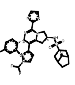 O=C1C2CCC1CC(S(=O)(=O)N[C@H]1CC3=C(c4ccn(C(F)F)n4)[C@H](c4ccc(F)cc4Cl)N=C(c4nccs4)N3C1)C2